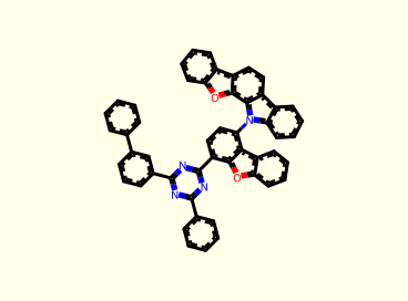 c1ccc(-c2cccc(-c3nc(-c4ccccc4)nc(-c4ccc(-n5c6ccccc6c6ccc7c8ccccc8oc7c65)c5c4oc4ccccc45)n3)c2)cc1